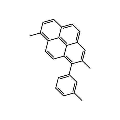 Cc1cccc(-c2c(C)cc3ccc4ccc(C)c5ccc2c3c45)c1